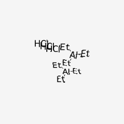 C[CH2][Al]([CH2]C)[CH2]C.C[CH2][Al]([CH2]C)[CH2]C.Cl.Cl.Cl